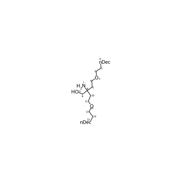 CCCCCCCCCCCCOCCC(N)(CO)CCOCCCCCCCCCCCC